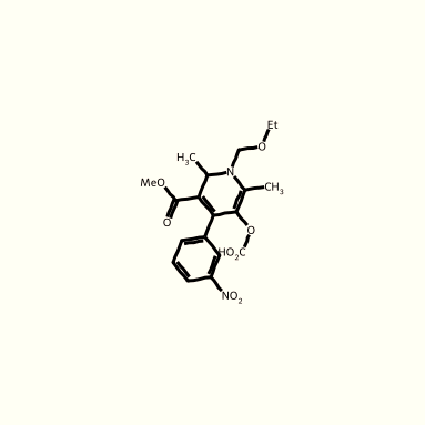 CCOCN1C(C)=C(OC(=O)O)C(c2cccc([N+](=O)[O-])c2)=C(C(=O)OC)C1C